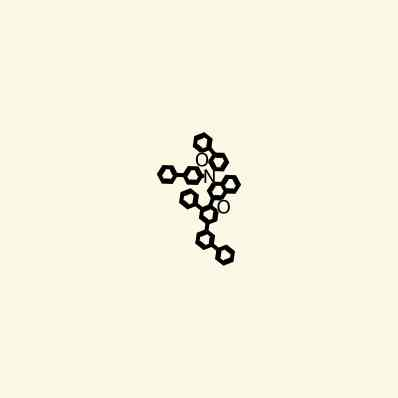 c1ccc(-c2ccc(N(c3cc4c(oc5cc(-c6cccc(-c7ccccc7)c6)cc(-c6ccccc6)c54)c4ccccc34)c3cccc4c3oc3ccccc34)cc2)cc1